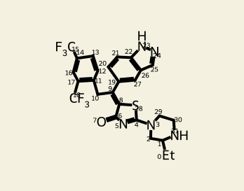 CCC1CN(C2=NC(=O)C(=C(Cc3ccc(C(F)(F)F)cc3C(F)(F)F)c3ccc4[nH]ncc4c3)S2)CCN1